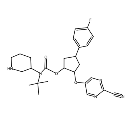 CC(C)(C)N(C(=O)OC1CC(c2ccc(F)cc2)CC1Oc1cnc(C#N)nc1)C1CCCNC1